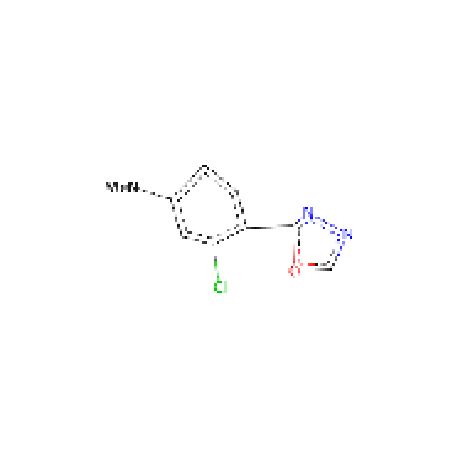 CNc1ccc(-c2nnco2)c(Cl)c1